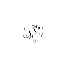 O=C(O)O.O=S(=O)(O)O.[KH].[KH]